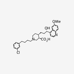 COc1ccc2nccc([C@@H](O)CC[C@@H]3CCN(CCCCc4cccc(Cl)c4)C[C@@H]3C(=O)O)c2c1